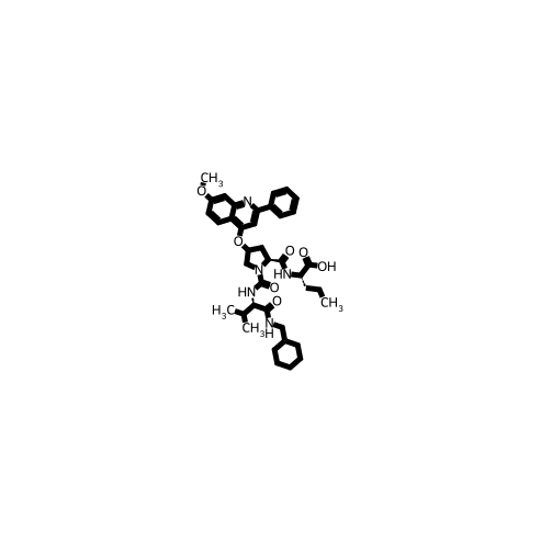 CCC[C@H](NC(=O)[C@@H]1CC(Oc2cc(-c3ccccc3)nc3cc(OC)ccc23)CN1C(=O)N[C@H](C(=O)NCC1CCCCC1)C(C)C)C(=O)O